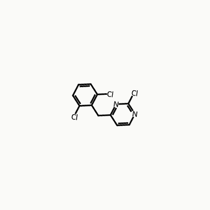 Clc1nccc(Cc2c(Cl)cccc2Cl)n1